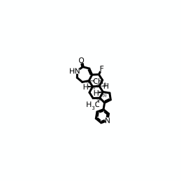 C[C@]12CCNC(=O)C=C1C(F)C[C@@H]1[C@@H]2CC[C@]2(C)C(c3cccnc3)=CC[C@@H]12